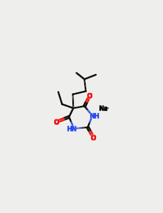 CCC1(CCC(C)C)C(=O)NC(=O)NC1=O.[Na]